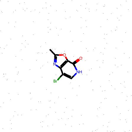 Cc1nc2c(Br)c[nH]c(=O)c2o1